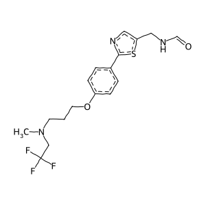 CN(CCCOc1ccc(-c2ncc(CNC=O)s2)cc1)CC(F)(F)F